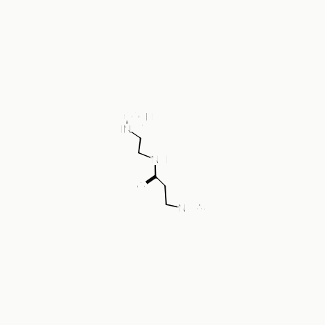 CC(=O)NCCC(=O)NCCNC(=O)O